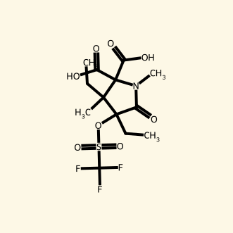 CCC1(OS(=O)(=O)C(F)(F)F)C(=O)N(C)C(C(=O)O)(C(=O)O)C1(C)CC